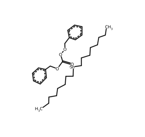 CCCCCCC[CH2][Sn][CH2]CCCCCCC.O=C(OCc1ccccc1)OOCc1ccccc1